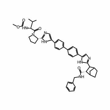 COC(=O)N[C@H](C(=O)N1CCC[C@H]1c1ncc(-c2ccc(-c3ccc(-c4cnc(C5C6CCC(C6)[C@@H]5C(=O)NCc5ccccc5)[nH]4)cc3)cc2)[nH]1)C(C)C